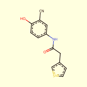 N#Cc1cc(NC(=O)Cc2ccsc2)ccc1O